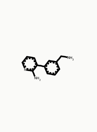 NCc1cccc(-c2cccnc2N)c1